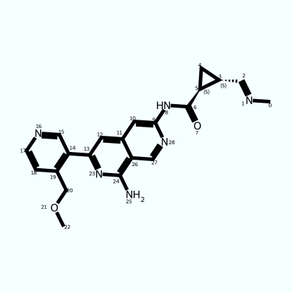 CN=C[C@H]1C[C@@H]1C(=O)Nc1cc2cc(-c3cnccc3COC)nc(N)c2cn1